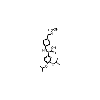 CC(C)Oc1ccc(C(Nc2ccc(C=NNO)cc2)C(=O)O)cc1OC(C)C